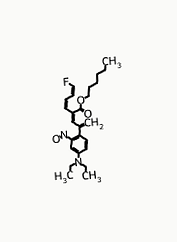 C=C(/C=C(/C=C\C=C/F)C(=O)OCCCCCC)c1ccc(N(CC)CC)cc1N=O